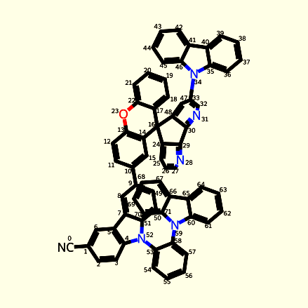 N#Cc1ccc2c(c1)c1cc(-c3ccc4c(c3)C3(c5ccccc5O4)c4cccnc4-c4ncc(-n5c6ccccc6c6ccccc65)cc43)ccc1n2-c1ccccc1-n1c2ccccc2c2ccccc21